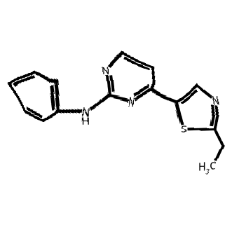 CCc1ncc(-c2ccnc(Nc3ccccc3)n2)s1